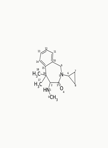 CNC1C(=O)N(C2CC2)Cc2ccccc2C1(C)C